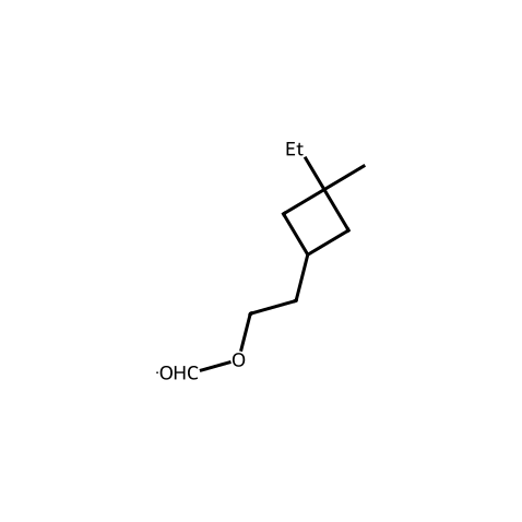 CCC1(C)CC(CCO[C]=O)C1